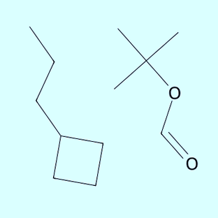 CC(C)(C)OC=O.CCCC1CCC1